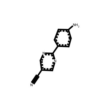 N#Cc1cnc(-c2ccc(N)cc2)nc1